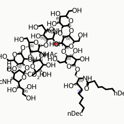 CCCCCCCCCCCCC/C=C/[C@@H](O)[C@H](CO[C@@H]1OC(CO)[C@@H](O[C@@H]2OC(CO)[C@H](O[C@@H]3OC(CO)[C@H](O)[C@H](O)C3NC(C)=O)[C@H](O[C@H]3OC(CO)[C@H](O)[C@H](O[C@@H]4OC(CO)[C@@H](O[C@@H]5OC(CO)[C@H](O)[C@H](O[C@]6(C(=O)O)CC(O)[C@@H](NC(C)=O)C([C@H](O)[C@H](O)CO)O6)C5O)[C@H](O[C@H]5OC(C)[C@@H](O)C(O)[C@@H]5O)C4NC(C)=O)C3O)C2O)[C@H](O)C1O)NC(=O)CCCCCCCCCCCCCCC